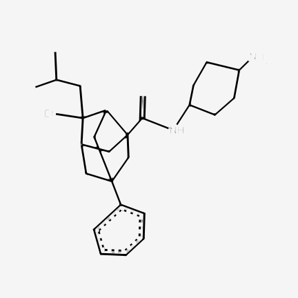 CCC1(CC(F)F)C2CC3(c4ccccc4)CC1C(C(=S)NC1CCC(N)CC1)(C2)C3